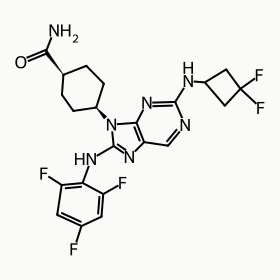 NC(=O)[C@H]1CC[C@@H](n2c(Nc3c(F)cc(F)cc3F)nc3cnc(NC4CC(F)(F)C4)nc32)CC1